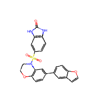 O=c1[nH]c2ccc(S(=O)(=O)N3CCOc4ccc(-c5ccc6occc6c5)cc43)cc2[nH]1